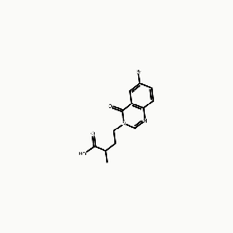 CC(CCn1cnc2ccc(Br)cc2c1=O)C(=O)O